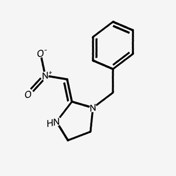 O=[N+]([O-])/C=C1\NCCN1Cc1ccccc1